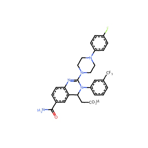 NC(=O)c1ccc2c(c1)C(CC(=O)O)N(c1cccc(C(F)(F)F)c1)C(N1CCN(c3ccc(F)cc3)CC1)=N2